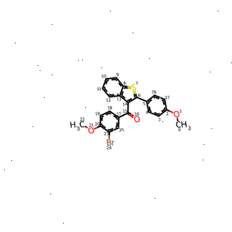 COc1ccc(-c2sc3ccccc3c2C(=O)c2ccc(OC)c(Br)c2)cc1